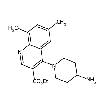 CCOC(=O)c1cnc2c(C)cc(C)cc2c1N1CCC(N)CC1